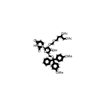 COc1ccc(C(OC[C@H]2O[C@@H](n3ccc(=O)[nH]c3=O)[C@H](OCOCCC(COC(C)=O)OC(C)=O)[C@@H]2O)(c2ccccc2)c2ccc(OC)cc2)cc1